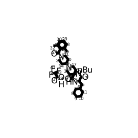 CCCCN1C(=O)C(CC2CCCCC2)NC(=O)C12CCN(C1CCN(C(=O)c3c(C)cccc3C)CC1)CC2.O=C(O)C(F)(F)F